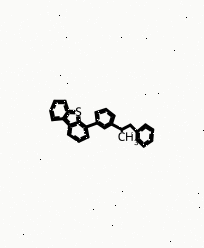 C[C@H](Cc1ccccc1)c1cccc(-c2cccc3c2sc2ccccc23)c1